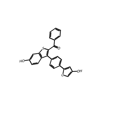 O=C(c1ccccc1)c1sc2cc(O)ccc2c1-c1ccc(-c2cc(O)co2)cc1